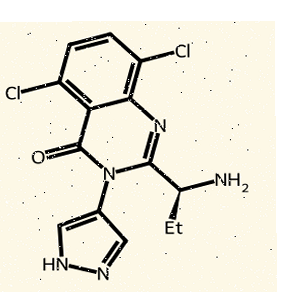 CC[C@H](N)c1nc2c(Cl)ccc(Cl)c2c(=O)n1-c1cn[nH]c1